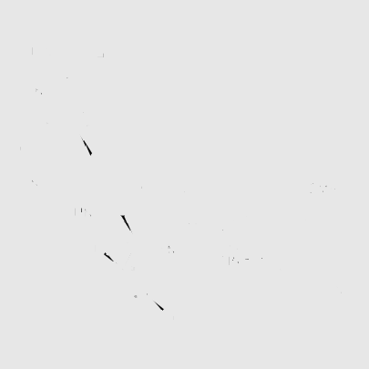 COc1cc(Cl)cc2[nH]c(C(=O)N3C[C@@H]4CCC[C@@H]4[C@H]3C(=O)NC(C#N)C[C@@H]3CC(C)(C)NC3=O)cc12